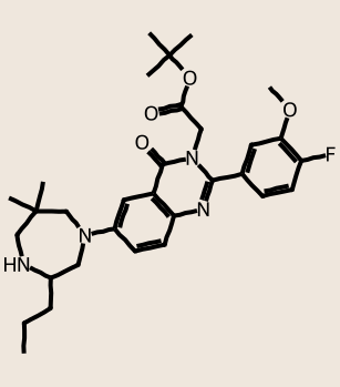 CCCC1CN(c2ccc3nc(-c4ccc(F)c(OC)c4)n(CC(=O)OC(C)(C)C)c(=O)c3c2)CC(C)(C)CN1